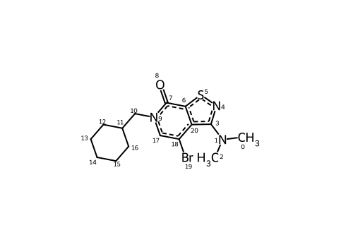 CN(C)c1nsc2c(=O)n(CC3CCCCC3)cc(Br)c12